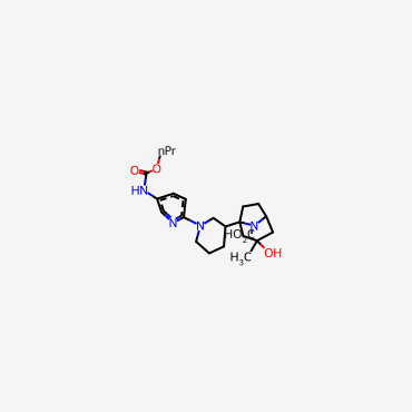 CCCOC(=O)Nc1ccc(N2CCCC(C34CCC(CC(C)(O)C3)N4C(=O)O)C2)nc1